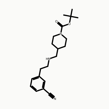 CC(C)(C)OC(=O)N1CCC(CNC[CH]c2cccc(C#N)c2)CC1